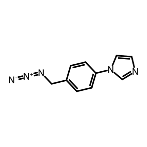 [N-]=[N+]=NCc1ccc(-n2ccnc2)cc1